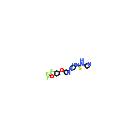 Fc1cc(Oc2ccnc(N3CCC(NC(=S)Nc4cccnc4)CC3)c2)ccc1OC(F)(F)F